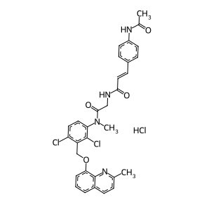 CC(=O)Nc1ccc(/C=C/C(=O)NCC(=O)N(C)c2ccc(Cl)c(COc3cccc4ccc(C)nc34)c2Cl)cc1.Cl